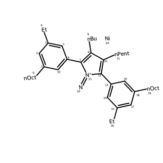 CCCCCCCCc1cc(CC)cc(C2=C(CCCC)C(CCCCC)=C(c3cc(CC)cc(CCCCCCCC)c3)[N+]2=[N-])c1.[Ni]